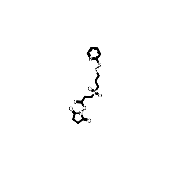 O=C(CCS(=O)(=O)CCCSSc1ccccn1)ON1C(=O)CCC1=O